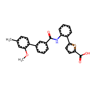 COc1cc(C)ccc1-c1cccc(C(=O)Nc2ccccc2-c2ccc(C(=O)O)s2)c1